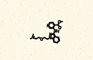 COC(=O)c1ccncc1Nc1nn(CCOCCN(C)C)c2ccccc12